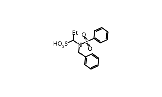 CCC(N(Cc1ccccc1)S(=O)(=O)c1ccccc1)S(=O)(=O)O